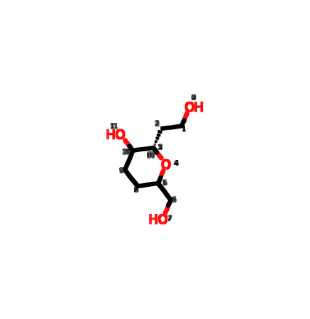 OCC[C@@H]1OC(CO)CCC1O